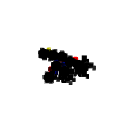 CC(C)(C)c1ccc(N2B3c4cc5nc(-c6ccccc6)oc5cc4-n4c5cc6c(cc5c5ccc(c3c54)-c3cc4oc5cc7c(cc5c4cc32)C(C)(C)CCC7(C)C)sc2ccccc26)cc1